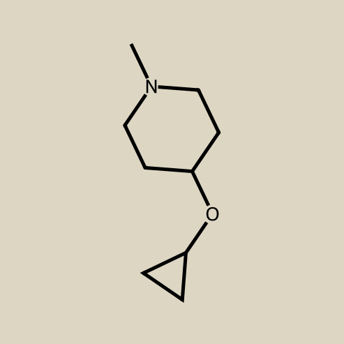 CN1CCC(OC2CC2)CC1